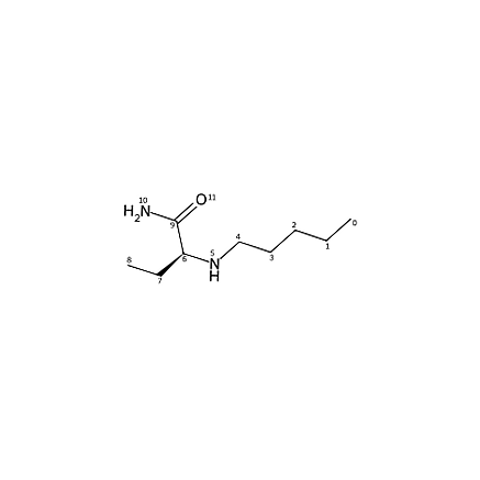 CCCCCN[C@@H](CC)C(N)=O